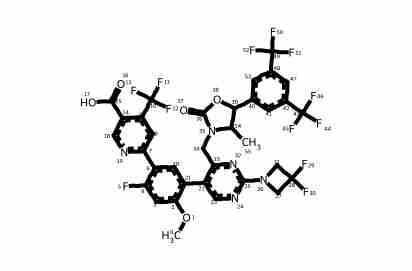 COc1cc(F)c(-c2cc(C(F)(F)F)c(C(=O)O)cn2)cc1-c1cnc(N2CC(F)(F)C2)nc1CN1C(=O)OC(c2cc(C(F)(F)F)cc(C(F)(F)F)c2)C1C